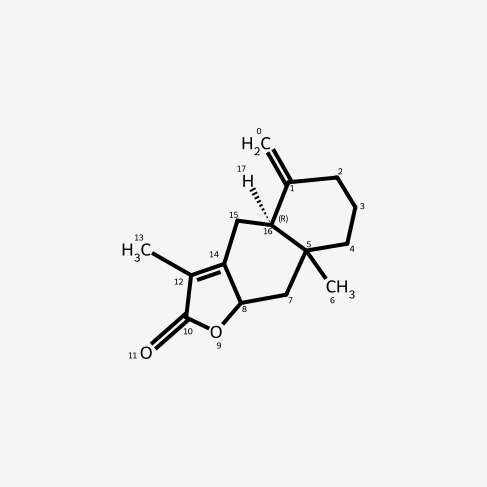 C=C1CCCC2(C)CC3OC(=O)C(C)=C3C[C@@H]12